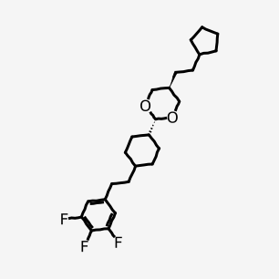 Fc1cc(CCC2CCC([C@H]3OC[C@H](CCC4CCCC4)CO3)CC2)cc(F)c1F